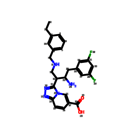 CCc1cccc(CNCC(c2nnc3ccc(C(=O)O)cn23)C(N)Cc2cc(F)cc(F)c2)c1